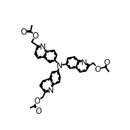 CC(=O)OCc1ccc2cc(N(c3ccc4nc(COC(C)=O)ccc4c3)c3ccc4nc(COC(C)=O)ccc4c3)ccc2n1